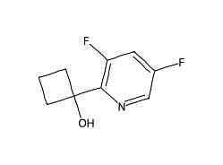 OC1(c2ncc(F)cc2F)CCC1